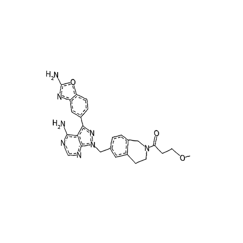 COCCC(=O)N1CCc2cc(Cn3nc(-c4ccc5oc(N)nc5c4)c4c(N)ncnc43)ccc2C1